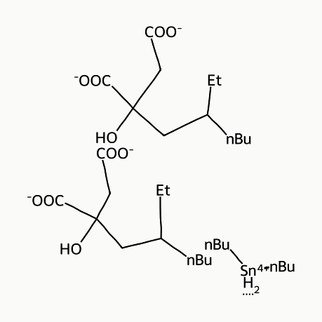 CCCCC(CC)CC(O)(CC(=O)[O-])C(=O)[O-].CCCCC(CC)CC(O)(CC(=O)[O-])C(=O)[O-].CCC[CH2][SnH2+4][CH2]CCC